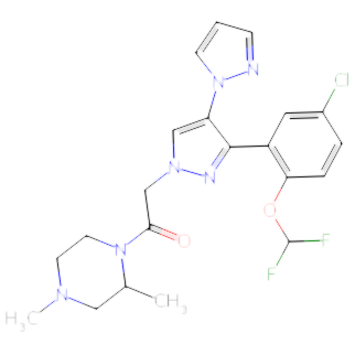 CC1CN(C)CCN1C(=O)Cn1cc(-n2cccn2)c(-c2cc(Cl)ccc2OC(F)F)n1